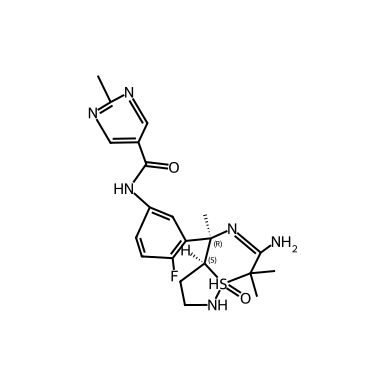 Cc1ncc(C(=O)Nc2ccc(F)c([C@@]3(C)N=C(N)C(C)(C)[SH]4(=O)NCC[C@@H]34)c2)cn1